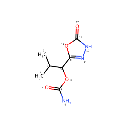 CC(C)C(OC(N)=O)c1n[nH]c(=O)o1